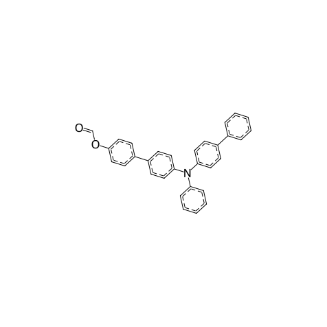 O=COc1ccc(-c2ccc(N(c3ccccc3)c3ccc(-c4ccccc4)cc3)cc2)cc1